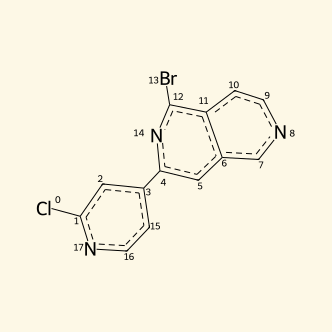 Clc1cc(-c2cc3cnccc3c(Br)n2)ccn1